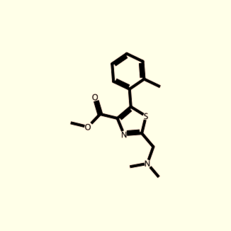 COC(=O)c1nc(CN(C)C)sc1-c1ccccc1C